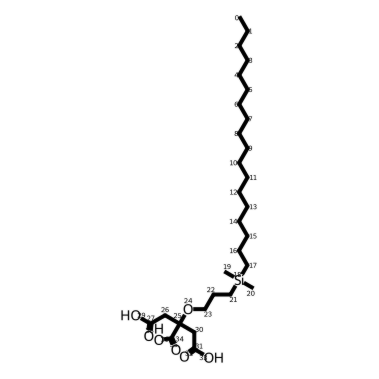 CCCCCCCCCCCCCCCCCC[Si](C)(C)CCCOC(CC(=O)O)(CC(=O)O)C(=O)O